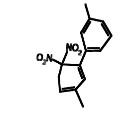 CC1=CCC([N+](=O)[O-])([N+](=O)[O-])C(c2cccc(C)c2)=C1